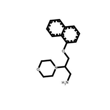 NCC(COc1cccc2ccccc12)N1CCOCC1